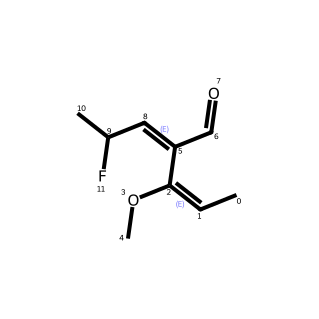 C/C=C(OC)\C(C=O)=C/C(C)F